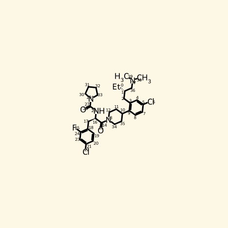 CC[C@@H](Cc1cc(Cl)ccc1C1CCN(C(=O)[C@@H](Cc2ccc(Cl)cc2F)NC(=O)N2CCCC2)CC1)CN(C)C